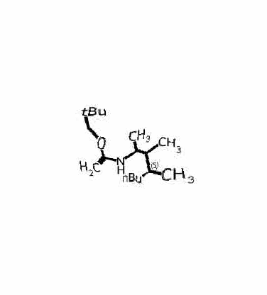 C=C(NC(C)C(C)[C@@H](C)CCCC)OCC(C)(C)C